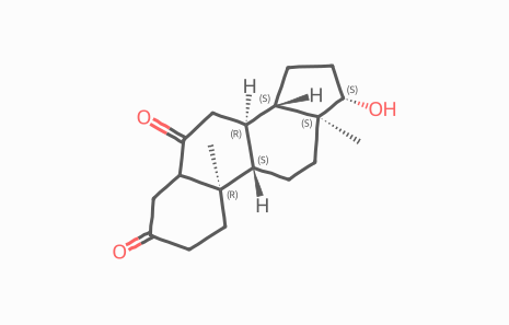 C[C@]12CC[C@H]3[C@@H](CC(=O)C4CC(=O)CC[C@@]43C)[C@@H]1CC[C@@H]2O